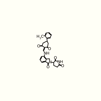 Cc1ccccc1C1CC(=O)C(=CNc2cccc3c2CN(C2CCC(=O)NC2=O)C3=O)C(=O)C1